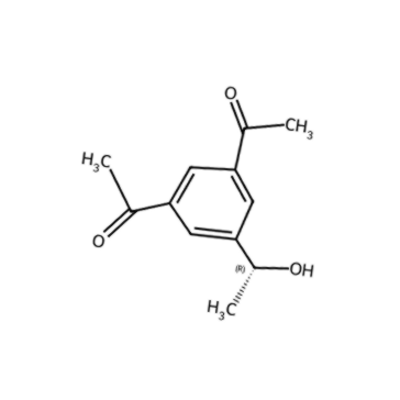 CC(=O)c1cc(C(C)=O)cc([C@@H](C)O)c1